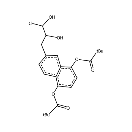 CC(C)(C)C(=O)Oc1ccc(OC(=O)C(C)(C)C)c2cc(CC(O)C(O)Cl)ccc12